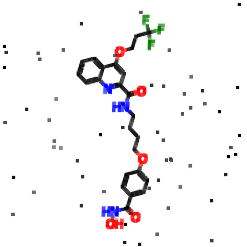 O=C(NO)c1ccc(OCCCCNC(=O)c2cc(OCCC(F)(F)F)c3ccccc3n2)cc1